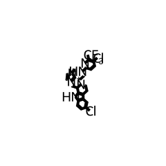 Cn1cc[n+](CC2c3[nH]c4ccc(Cl)cc4c3CCN2CCNc2ccc(Cl)c(C(F)(F)F)n2)c1